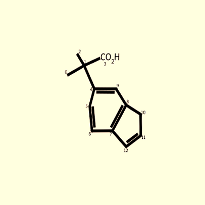 CC(C)(C(=O)O)c1ccc2c(c1)CC=C2